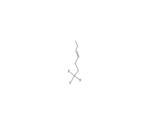 CCC=CCCC(F)(F)F